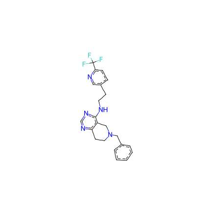 FC(F)(F)c1ccc(CCNc2ncnc3c2CN(Cc2ccccc2)CC3)cn1